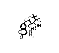 COC1C(O)C(OC(N)=O)C(Oc2ccc3oc(=O)ccc3c2)OC1(C)C